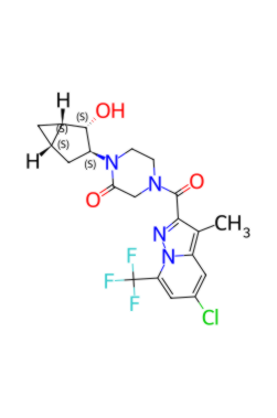 Cc1c(C(=O)N2CCN([C@H]3C[C@@H]4C[C@@H]4[C@@H]3O)C(=O)C2)nn2c(C(F)(F)F)cc(Cl)cc12